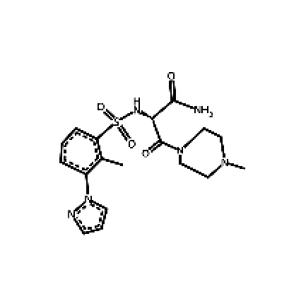 Cc1c(-n2cccn2)cccc1S(=O)(=O)N[C@@H](C(N)=O)C(=O)N1CCN(C)CC1